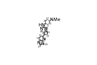 CN[C@H]1CC[C@H](Nc2ncc3c(-c4ccc5nc(C)n(C)c5n4)ccn3n2)CC1